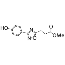 COC(=O)CCc1nc(-c2ccc(O)cc2)no1